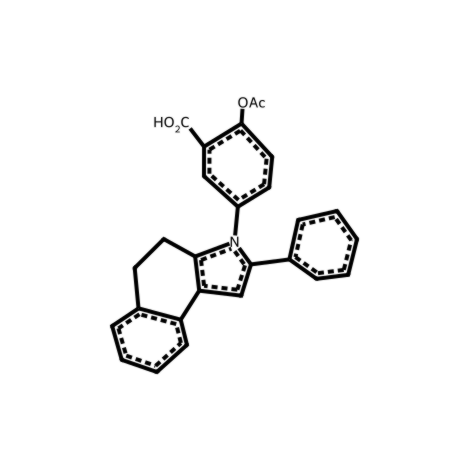 CC(=O)Oc1ccc(-n2c(-c3ccccc3)cc3c2CCc2ccccc2-3)cc1C(=O)O